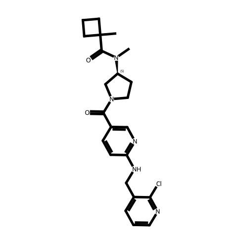 CN(C(=O)C1(C)CCC1)[C@H]1CCN(C(=O)c2ccc(NCc3cccnc3Cl)nc2)C1